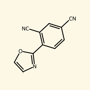 N#Cc1ccc(-c2n[c]co2)c(C#N)c1